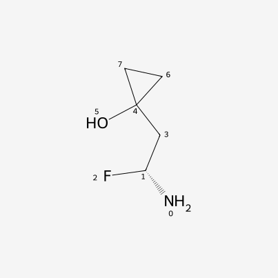 N[C@H](F)CC1(O)CC1